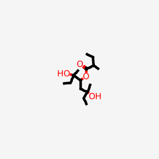 CCC(C)C(=O)OC(CC(C)(O)CC)C(C)(O)CC